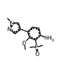 COc1c(-c2cnn(C)c2)ccc(N)c1P(C)(C)=O